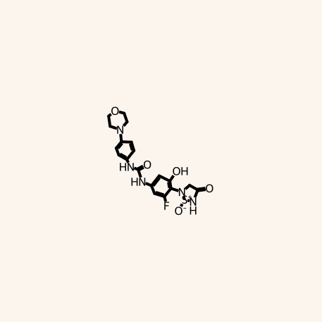 O=C1CN(c2c(O)cc(NC(=O)Nc3ccc(N4CCOCC4)cc3)cc2F)[S+]([O-])N1